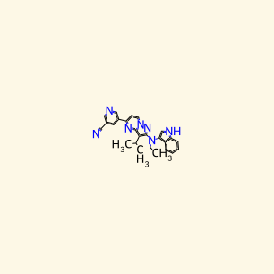 CCN(c1nn2ccc(-c3cncc(C#N)c3)nc2c1C(C)C)c1c[nH]c2ccccc12